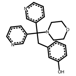 Oc1cccc(CC(c2cccnc2)(c2cccnc2)N2CCOCC2)c1